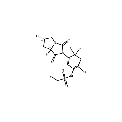 O=C1[C@@H]2C[C@H](Cl)CN2C(=O)N1C1=CC(NS(=O)(=O)CCl)=C(Cl)CC1(F)F